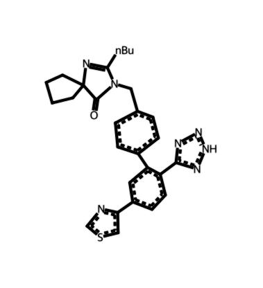 CCCCC1=NC2(CCCC2)C(=O)N1Cc1ccc(-c2cc(-c3cscn3)ccc2-c2nn[nH]n2)cc1